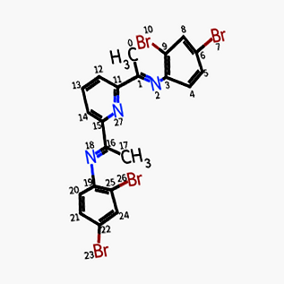 C/C(=N\c1ccc(Br)cc1Br)c1cccc(/C(C)=N/c2ccc(Br)cc2Br)n1